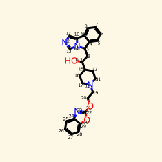 OC(CC1c2ccccc2-c2cncn21)C1CCN(CCOc2nc3ccccc3o2)CC1